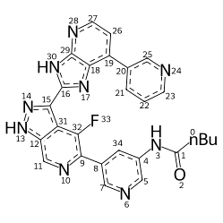 CCCCC(=O)Nc1cncc(-c2ncc3[nH]nc(-c4nc5c(-c6cccnc6)ccnc5[nH]4)c3c2F)c1